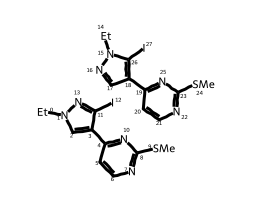 CCn1cc(-c2ccnc(SC)n2)c(I)n1.CCn1ncc(-c2ccnc(SC)n2)c1I